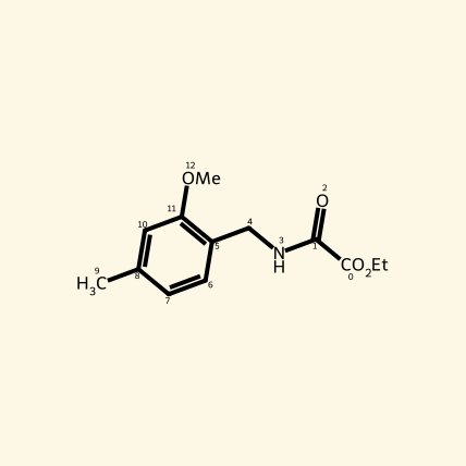 CCOC(=O)C(=O)NCc1ccc(C)cc1OC